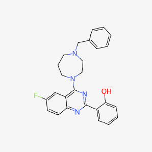 Oc1ccccc1-c1nc(N2CCCN(Cc3ccccc3)CC2)c2cc(F)ccc2n1